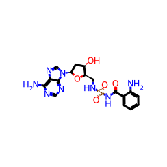 Nc1ccccc1C(=O)NS(=O)(=O)NC[C@H]1O[C@@H](n2cnc3c(N)ncnc32)C[C@@H]1O